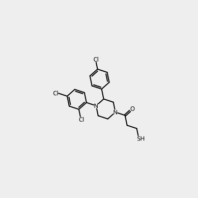 O=C(CCS)N1CCN(c2ccc(Cl)cc2Cl)C(c2ccc(Cl)cc2)C1